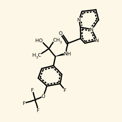 CC(C)(O)[C@@H](NC(=O)c1cnn2cccnc12)c1ccc(OC(F)(F)F)c(F)c1